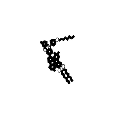 CCCCCCCCOc1ccc(N2c3ccc(C)cc3Oc3cc(-c4ccc5c(c4)C4(c6cc(C)ccc6-5)c5cc(C)c(C)cc5-c5cc(OCCCCCCCC)c(OCCCCCCCC)cc54)ccc32)cc1